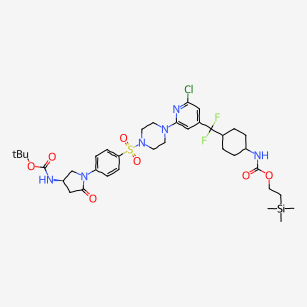 CC(C)(C)OC(=O)N[C@@H]1CC(=O)N(c2ccc(S(=O)(=O)N3CCN(c4cc(C(F)(F)C5CCC(NC(=O)OCC[Si](C)(C)C)CC5)cc(Cl)n4)CC3)cc2)C1